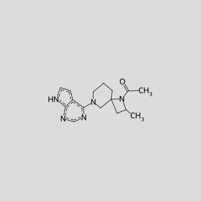 CC(=O)N1C(C)CC12CCCN(c1ncnc3[nH]ccc13)C2